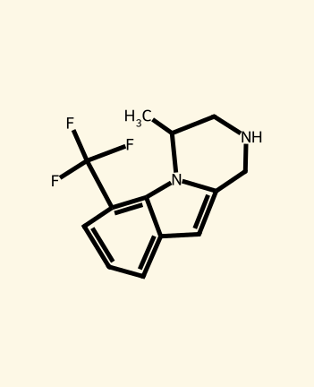 CC1CNCc2cc3cccc(C(F)(F)F)c3n21